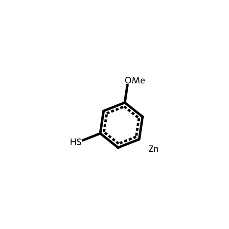 COc1cccc(S)c1.[Zn]